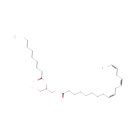 CC/C=C\C/C=C\C/C=C\CCCCCCCC(=O)OCC(CO)OC(=O)CCCCCCCCCCCCCCCCC